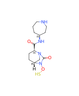 O=C(N[C@H]1CCCNCC1)[C@@H]1CC[C@@H]2CN1C(=O)N2OS